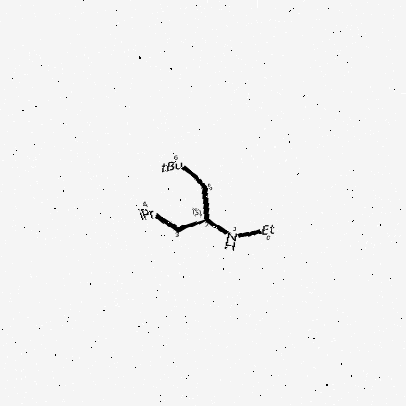 CCN[C@@H](CC(C)C)CC(C)(C)C